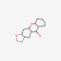 O=c1c2ccccc2oc2cc3c(cc12)CCO3